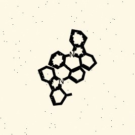 CC1CC=Cc2c3c(n(C4=CCCC=C4c4ccccc4-n4c5c(c6ccccc64)CCC=C5)c21)CCC=C3